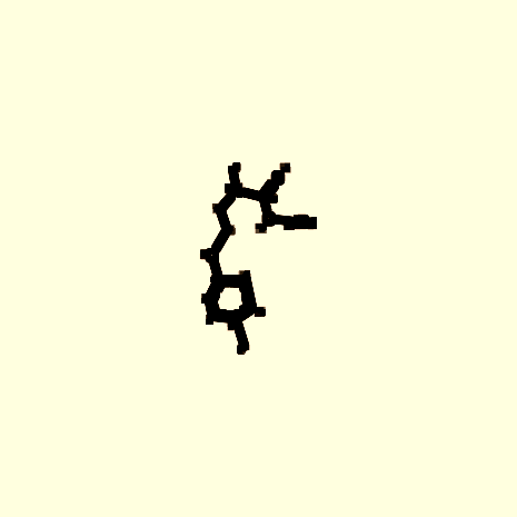 Cc1ccc(OCCN(C)C(=O)OC(C)(C)C)cc1